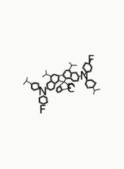 CC(C)c1ccc(N(c2ccc(F)cc2)c2ccc3c4c(cc(C(C)C)c3c2)-c2cc(C(C)C)c3cc(N(c5ccc(F)cc5)c5ccc(C(C)C)cc5)ccc3c2C42c3ccccc3-c3ccccc32)cc1